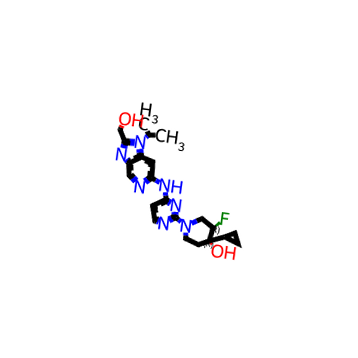 CC(C)n1c(CO)nc2cnc(Nc3ccnc(N4CC[C@@](O)(C5CC5)[C@H](F)C4)n3)cc21